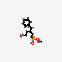 CCO[PH](=O)CCC(CCBr)Cc1ccccc1